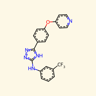 FC(F)(F)c1cccc(Nc2nnc(-c3ccc(Oc4ccncc4)cc3)[nH]2)c1